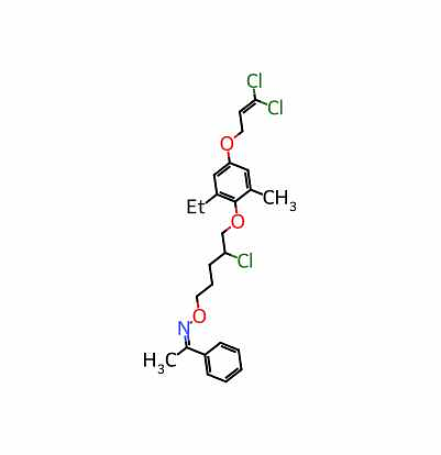 CCc1cc(OCC=C(Cl)Cl)cc(C)c1OCC(Cl)CCCON=C(C)c1ccccc1